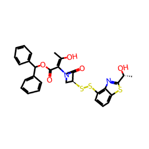 CC(O)=C(C(=O)OC(c1ccccc1)c1ccccc1)N1C[C@H](SSc2cccc3sc([C@@H](C)O)nc23)C1=O